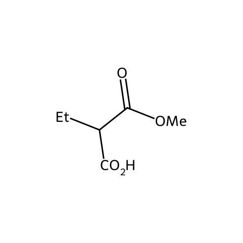 CCC(C(=O)O)C(=O)OC